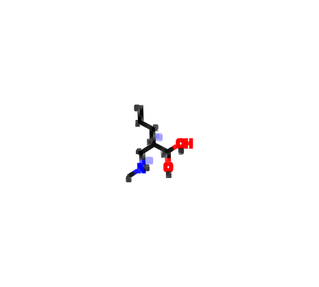 C=C/C=C(\C=N\C)C(=O)O